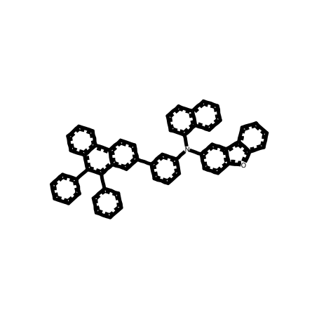 c1ccc(-c2c(-c3ccccc3)c3cc(-c4cccc(N(c5ccc6oc7ccccc7c6c5)c5cccc6ccccc56)c4)ccc3c3ccccc23)cc1